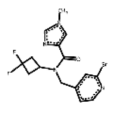 Cn1cnc(C(=O)N(Cc2ccnc(Br)c2)C2CC(F)(F)C2)c1